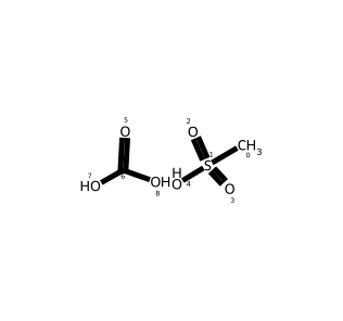 CS(=O)(=O)O.O=C(O)O